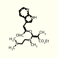 CCOC(=O)/C(C)=C(/O/C(C=O)=C\c1c[nH]c2ncccc12)N(C)CCN(C)C